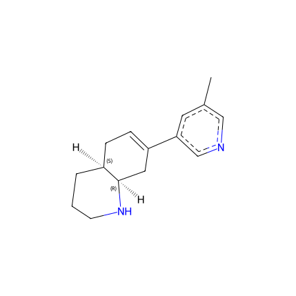 Cc1cncc(C2=CC[C@@H]3CCCN[C@@H]3C2)c1